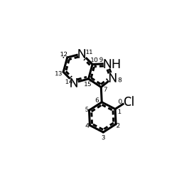 Clc1ccccc1-c1n[nH]c2n[c]cnc12